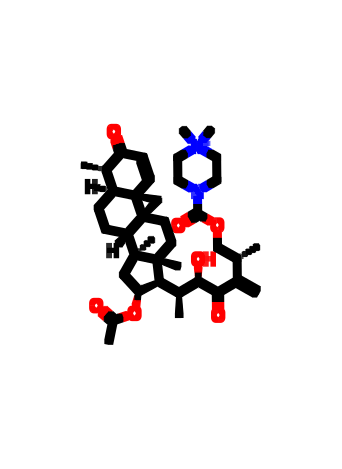 C=C(C(=O)[C@H](O)[C@@H](C)[C@H]1[C@@H](OC(C)=O)C[C@@]2(C)[C@@H]3CC[C@H]4[C@H](C)C(=O)C=C[C@@]45C[C@@]35CC[C@]12C)[C@@H](C)COC(=O)N1CC[N+](C)(C)CC1